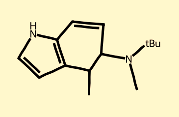 CC1c2cc[nH]c2C=CC1N(C)C(C)(C)C